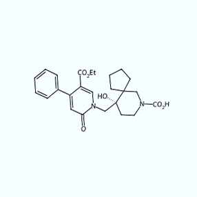 CCOC(=O)c1cn(C[C@]2(O)CCN(C(=O)O)CC23CCCC3)c(=O)cc1-c1ccccc1